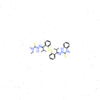 CCN(C)C(=S)N/N=C(/c1ccccc1SSc1ccccc1/C(=N/NC(=S)N(C)c1ccccc1)C(C)C)C(C)C